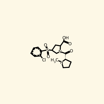 CN1CCC[C@H]1C(=O)N1CC(S(=O)(=O)c2ccccc2Cl)CC1C(=O)O